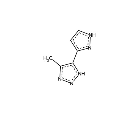 Cc1nn[nH]c1-c1cc[nH]n1